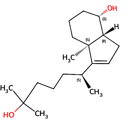 C[C@@H](CCCC(C)(C)O)C1=CC[C@H]2[C@@H](O)CCC[C@]12C